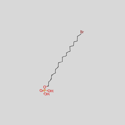 O=P(O)(O)OCCCCCCCCCCCCCCCCCCCBr